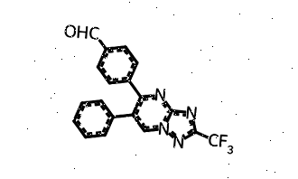 O=Cc1ccc(-c2nc3nc(C(F)(F)F)nn3cc2-c2ccccc2)cc1